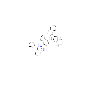 CC1(C)CCC(C)(C)c2cc3c(cc21)c1c2ccccc2ccc1n3-c1ccc(C2=NC(c3ccccc3)=C3C=CCCC3N2)c2ccccc12